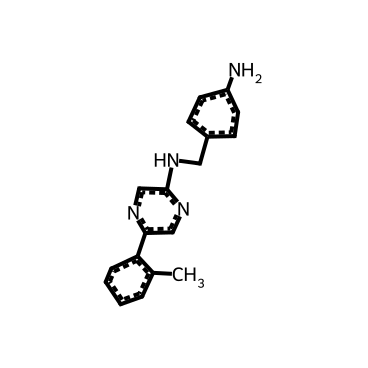 Cc1ccccc1-c1cnc(NCc2ccc(N)cc2)cn1